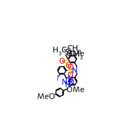 COc1ccc(CN(Cc2ccc(OC)cc2)S(=O)(=O)c2c(S(=O)(=O)CC[Si](C)(C)C)ccc(I)c2-c2nnn(Cc3ccc(OC)cc3)n2)cc1